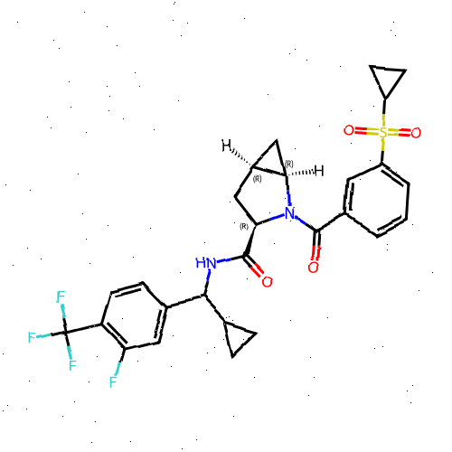 O=C(NC(c1ccc(C(F)(F)F)c(F)c1)C1CC1)[C@H]1C[C@H]2C[C@H]2N1C(=O)c1cccc(S(=O)(=O)C2CC2)c1